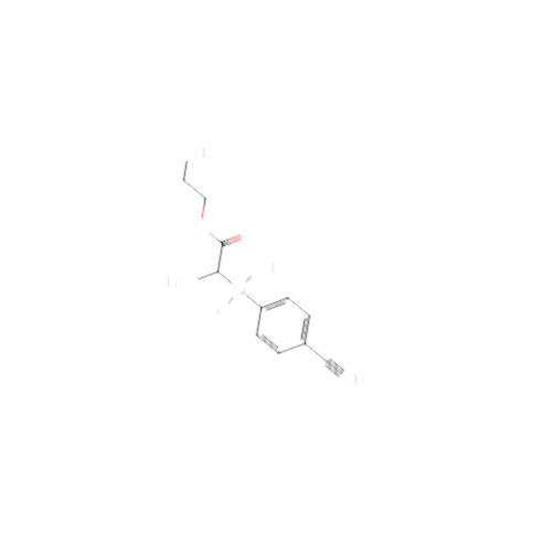 C#Cc1ccc([Si](C)(C)C(C)C(=O)OCCC)cc1